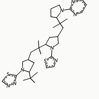 CC(C)(C)C1CC(CC(C)(C)C2CC(CC(C)(C)C3CCCN3c3ncccn3)CN2c2nccs2)CN1c1nncs1